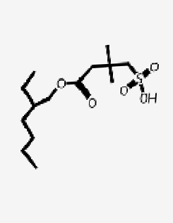 CCCCC(CC)COC(=O)CC(C)(C)CS(=O)(=O)O